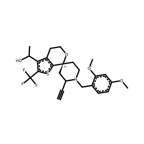 C#CC1C[C@]2(CCN1Cc1ccc(OC)cc1OC)OCCc1c2sc(C(F)(F)F)c1C(C)O